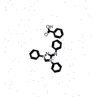 O=C(O)c1ccccc1.c1ccc(/N=c2\[n-]n(-c3ccccc3)c[n+]2-c2ccccc2)cc1